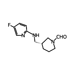 O=CN1CCC[C@H](CNc2ccc(F)cn2)C1